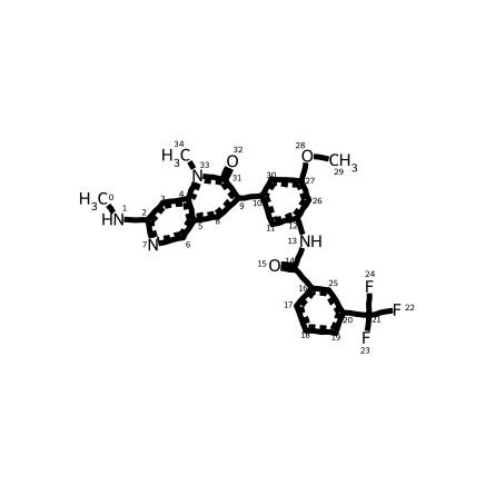 CNc1cc2c(cn1)cc(-c1cc(NC(=O)c3cccc(C(F)(F)F)c3)cc(OC)c1)c(=O)n2C